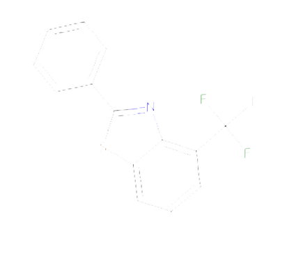 FC(F)(F)c1cccc2sc(-c3ccccc3)nc12